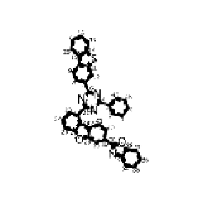 c1ccc(-c2nc(-c3ccc4c(c3)sc3ccccc34)nc(-c3cccc4oc5cc(-c6nc7ccccc7o6)ccc5c34)n2)cc1